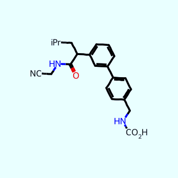 CC(C)CC(C(=O)NCC#N)c1cccc(-c2ccc(CNC(=O)O)cc2)c1